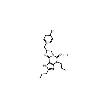 CCCc1nc2c([nH]1)C1=NC(Cc3ccc(Cl)cc3)CN1C(=O)N2CCC.Cl